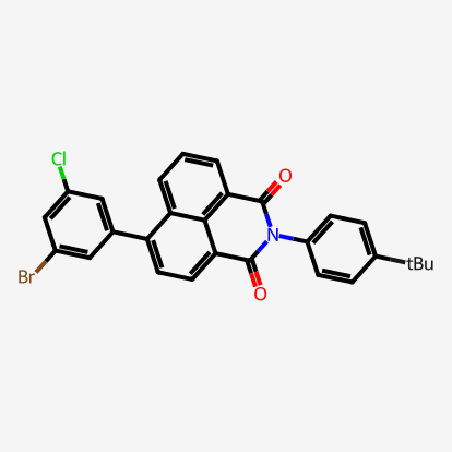 CC(C)(C)c1ccc(N2C(=O)c3cccc4c(-c5cc(Cl)cc(Br)c5)ccc(c34)C2=O)cc1